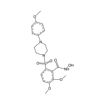 COc1ccc(N2CCN(S(=O)(=O)c3ccc(OC)c(OC)c3C(=O)NO)CC2)cc1